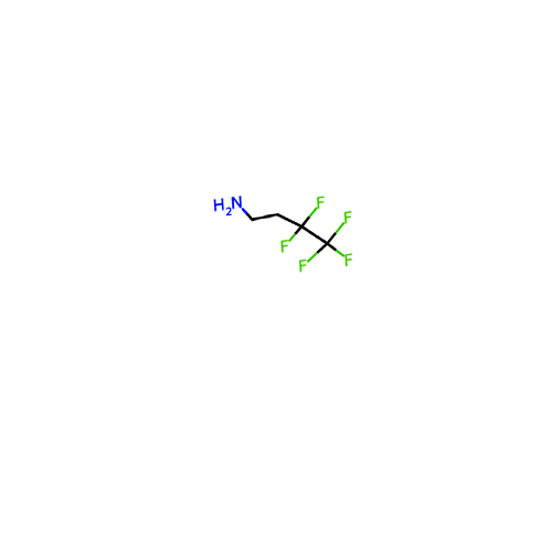 NCCC(F)(F)C(F)(F)F